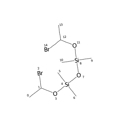 CC(Br)O[Si](C)(C)O[Si](C)(C)OC(C)Br